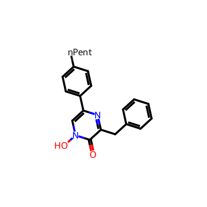 CCCCCc1ccc(-c2cn(O)c(=O)c(Cc3ccccc3)n2)cc1